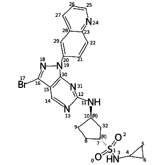 O=S(=O)(NC1CC1)[C@@H]1CC[C@@H](Nc2ncc3c(Br)nn(-c4ccc5ncccc5c4)c3n2)C1